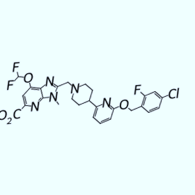 Cn1c(CN2CCC(c3cccc(OCc4ccc(Cl)cc4F)n3)CC2)nc2c(OC(F)F)cc(C(=O)O)nc21